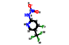 O=[N+]([O-])Nc1cc(F)c(C(F)(F)F)cn1